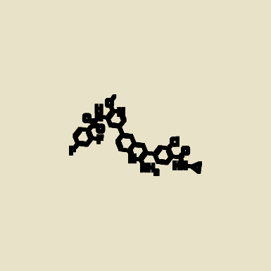 COc1ncc(-c2ccc3nc(N)c(-c4ccc(C(=O)NC5CC5)c(Cl)c4)cc3c2)cc1NS(=O)(=O)c1ccc(F)cc1F